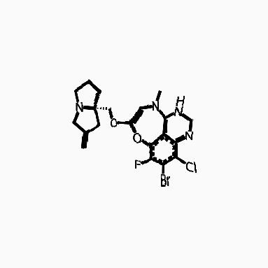 C=C1CN2CCC[C@@]2(COC2=CN(C)C3=c4c(c(F)c(Br)c(Cl)c4=NCN3)O2)C1